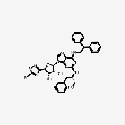 CCc1nc([C@H]2O[C@@H](n3cnc4c(NCC(c5ccccc5)c5ccccc5)nc(N[C@H](CO)Cc5ccccc5)nc43)[C@H](O)[C@@H]2O)no1